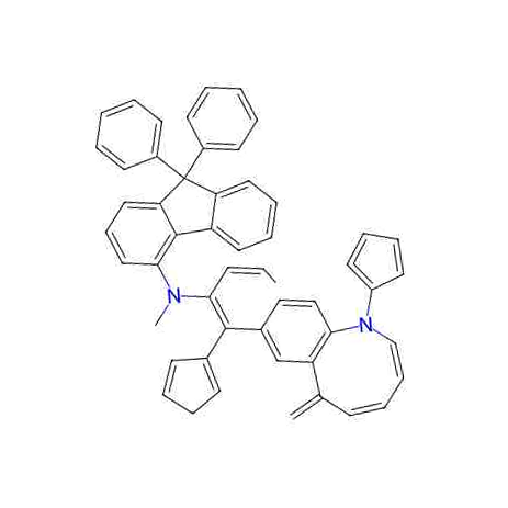 C=C1/C=C\C=C/N(C2=C=CC=C2)c2ccc(/C(C3=CCC=C3)=C(\C=C/C)N(C)c3cccc4c3-c3ccccc3C4(c3ccccc3)c3ccccc3)cc21